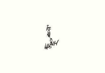 Cn1cc(C(=O)Nc2c[nH]c3ccc(-c4cnn(-c5ccc(C(F)(F)F)cc5)c4)cc23)cn1